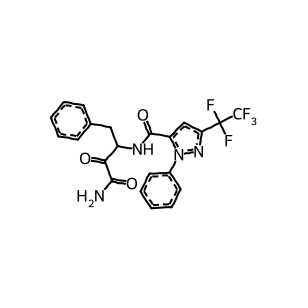 NC(=O)C(=O)C(Cc1ccccc1)NC(=O)c1cc(C(F)(F)C(F)(F)F)nn1-c1ccccc1